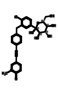 Cn1cc(C#Cc2ccc(Cc3cc([C@]4(O)O[C@H](CO)[C@@H](O)[C@H](O)[C@H]4O)ccc3Cl)cc2)ccc1=O